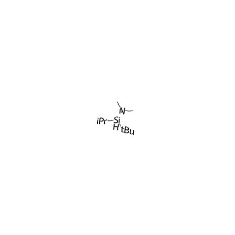 CC(C)[SiH](N(C)C)C(C)(C)C